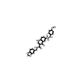 CCOc1ccc(NS(=O)(=O)c2ccc3[nH]cc(C(=O)NCc4ccc5c(c4)OCO5)c(=O)c3c2)cc1